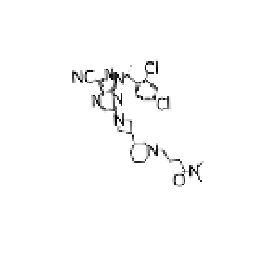 C[C@H](c1ccc(Cl)cc1Cl)n1nc(C#N)c2ncc(N3CC(C4CCCN(CCCC(=O)N(C)C)C4)C3)nc21